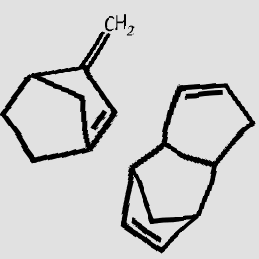 C1=CC2C3C=CC(C3)C2C1.C=C1C=C2CCC1C2